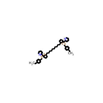 C=Cc1ccc(CSC2(c3ccccn3)SC3(CCCCCCCCCCC45C=CC(C4)C(SCc4ccc(C=C)cc4)(c4ccccn4)S5)C=CC2C3)cc1